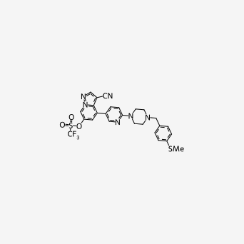 CSc1ccc(CN2CCN(c3ccc(-c4cc(OS(=O)(=O)C(F)(F)F)cn5ncc(C#N)c45)cn3)CC2)cc1